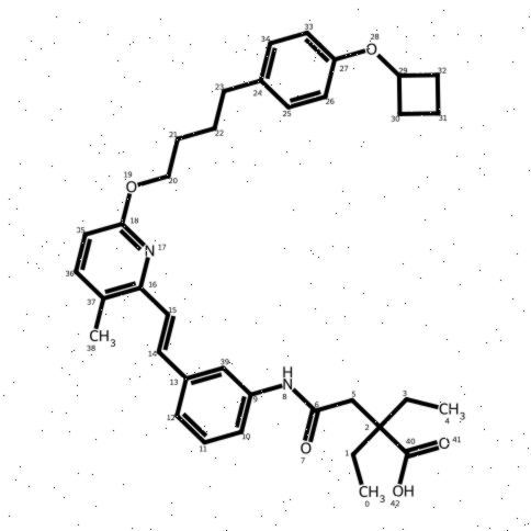 CCC(CC)(CC(=O)Nc1cccc(C=Cc2nc(OCCCCc3ccc(OC4CCC4)cc3)ccc2C)c1)C(=O)O